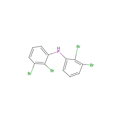 Brc1cccc(Pc2cccc(Br)c2Br)c1Br